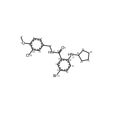 COc1ccc(CNC(=O)c2cc(Br)ccc2NC2CCCC2)cc1Cl